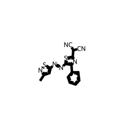 Cc1cc(/N=N/c2sc(C(C#N)C#N)nc2-c2ccccc2)sn1